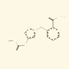 COC(=O)c1ncccc1Cn1cc(NC(=O)OC(C)(C)C)cn1